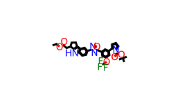 CCOC(=O)CC1CCc2c1[nH]c1ccc(-c3noc(-c4cc(OC(F)(F)F)cc(-c5cccn5C(=O)OC(C)(C)C)c4)n3)cc21